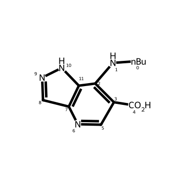 CCCCNc1c(C(=O)O)cnc2cn[nH]c12